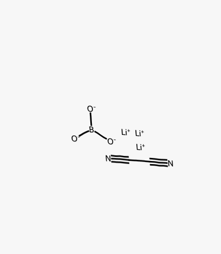 N#CC#N.[Li+].[Li+].[Li+].[O-]B([O-])[O-]